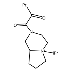 CC(C)C(=O)C(=O)N1CC[N+]2(C(C)C)CCCC2C1